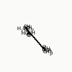 CC(C)(C)OC(=O)CCCCCCCCCCCCCCCCC(=O)NC(CCC(=O)OC(C)(C)C)C(=O)O